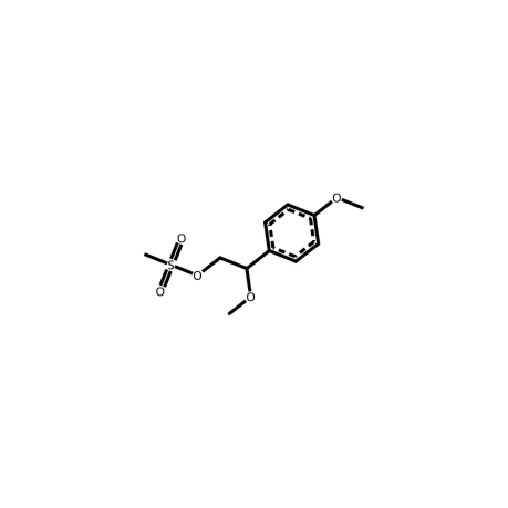 COc1ccc(C(COS(C)(=O)=O)OC)cc1